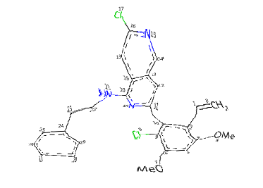 C=Cc1c(OC)cc(OC)c(Cl)c1-c1cc2cnc(Cl)cc2c(NCCc2ccccc2)n1